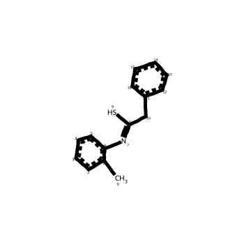 Cc1ccccc1N=C(S)Cc1ccccc1